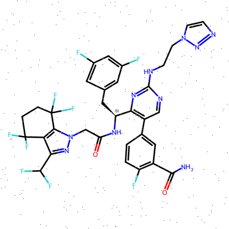 NC(=O)c1cc(-c2cnc(NCCn3ccnn3)nc2[C@H](Cc2cc(F)cc(F)c2)NC(=O)Cn2nc(C(F)F)c3c2C(F)(F)CCC3(F)F)ccc1F